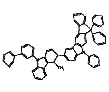 CC1c2c(n(-c3cccc(-c4ccccc4)c3)c3ccccc23)C=CC1c1ccc2c(c1)c1cc3c(cc1n2-c1ccccc1)C(c1ccccc1)(c1ccccc1)c1ccccc1-3